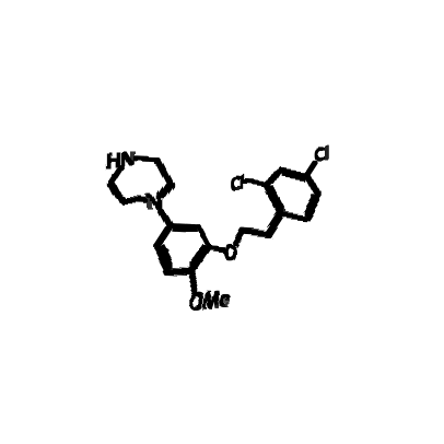 COc1ccc(N2CCNCC2)cc1OCCc1ccc(Cl)cc1Cl